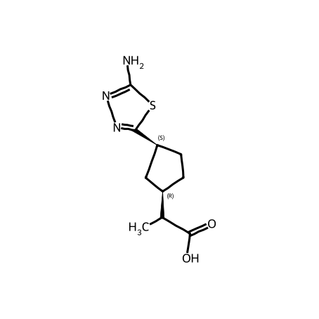 CC(C(=O)O)[C@@H]1CC[C@H](c2nnc(N)s2)C1